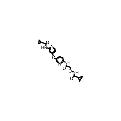 O=C(CONC(=O)C1CC1)Nc1ccc(Oc2ccnc(NC(=O)C3CC3)c2)cn1